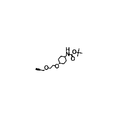 C#CCOCCOC1CCC(NC(=O)OC(C)(C)C)CC1